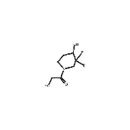 O=C(CO)N1CC[C@@H](O)C(F)(F)C1